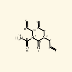 C=CCN(CC=C)C(=O)N(CC=C)C(N)=O